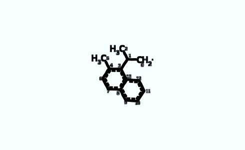 [CH2]C(C)c1c(C)ccc2ccccc12